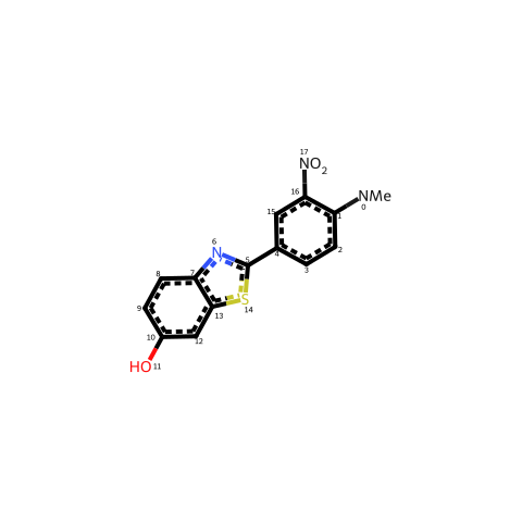 CNc1ccc(-c2nc3ccc(O)cc3s2)cc1[N+](=O)[O-]